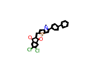 Cn1c(-c2ccc(-c3ccccc3)cc2)cc2sc(C=C3C(=O)c4cc(Cl)c(Cl)cc4C3=O)cc21